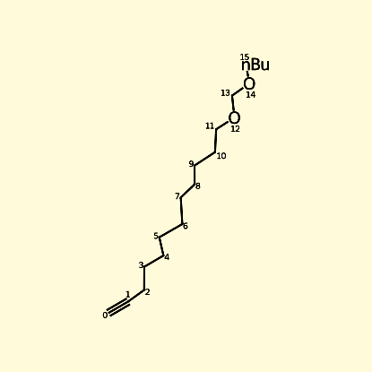 C#CCCCCCCCCCCOCOCCCC